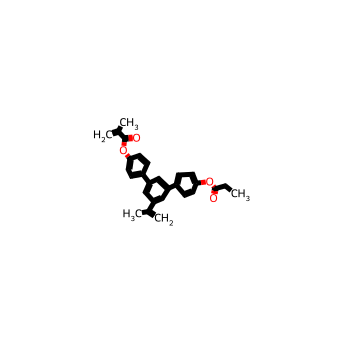 C=C(C)C(=O)Oc1ccc(-c2cc(C(=C)C)cc(-c3ccc(OC(=O)CC)cc3)c2)cc1